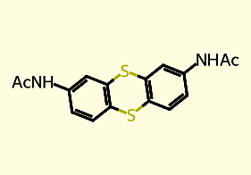 CC(=O)Nc1ccc2c(c1)Sc1cc(NC(C)=O)ccc1S2